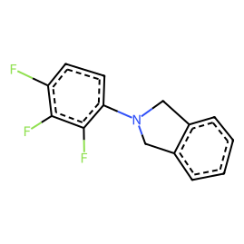 Fc1ccc(N2Cc3ccccc3C2)c(F)c1F